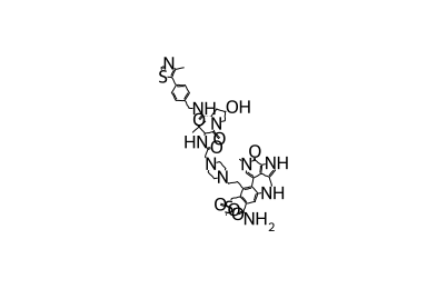 Cc1ncsc1-c1ccc(CNC(=O)[C@@H]2C[C@@H](O)CN2C(=O)[C@@H](NC(=O)CN2CCN(CCc3c(CS(C)(=O)=O)c(C(N)=O)cc4c3-c3cn(C)c(=O)c5[nH]cc(c35)CN4)CC2)C(C)(C)C)cc1